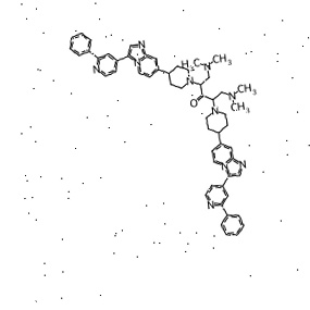 CN(C)CC(C(=O)C(CN(C)C)N1CCC(c2ccn3c(-c4ccnc(-c5ccccc5)c4)cnc3c2)CC1)N1CCC(c2ccn3c(-c4ccnc(-c5ccccc5)c4)cnc3c2)CC1